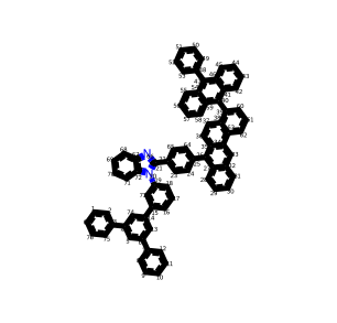 c1ccc(-c2cc(-c3ccccc3)cc(-c3cccc(-n4c(-c5ccc(-c6c7ccccc7cc7c6ccc6c(-c8c9ccccc9c(-c9ccccc9)c9ccccc89)cccc67)cc5)nc5ccccc54)c3)c2)cc1